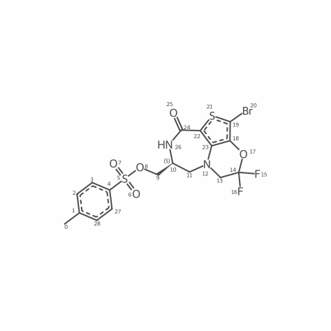 Cc1ccc(S(=O)(=O)OC[C@@H]2CN3CC(F)(F)Oc4c(Br)sc(c43)C(=O)N2)cc1